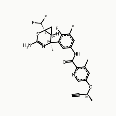 C#C[C@H](C)Oc1cnc(C(=O)Nc2cc(F)c(F)c([C@@]3(C)N=C(N)S[C@@]4(C(F)F)C[C@@H]34)c2)c(C)c1